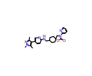 Cc1nn(C)c(C)c1-c1ccc(NCC2CCC3(CC2)CN(c2ccccn2)C(=O)O3)nc1